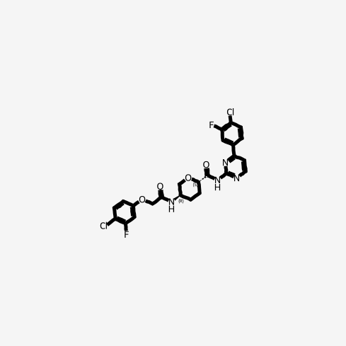 O=C(COc1ccc(Cl)c(F)c1)N[C@@H]1CC[C@@H](C(=O)Nc2nccc(-c3ccc(Cl)c(F)c3)n2)OC1